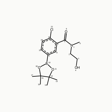 CN(CCO)C(=O)c1cc(B2OC(C)(C)C(C)(C)O2)ccc1Cl